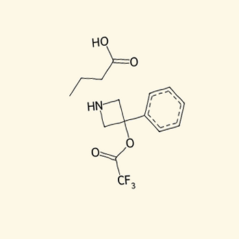 CCCC(=O)O.O=C(OC1(c2ccccc2)CNC1)C(F)(F)F